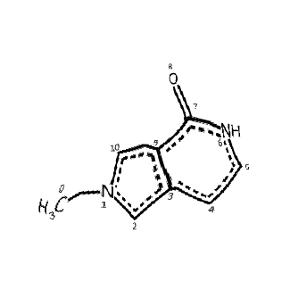 Cn1cc2cc[nH]c(=O)c2c1